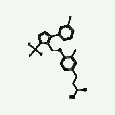 Cc1cc(CCC(=O)O)ccc1OCc1c(C(F)(F)F)ccn1-c1cccc(F)c1